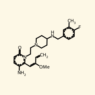 C=C/C(=C\c1c(N)ccc(=O)n1CCN1CCC(NCc2ccc(F)c(C)c2)CC1)OC